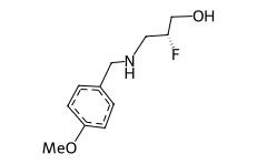 COc1ccc(CNC[C@@H](F)CO)cc1